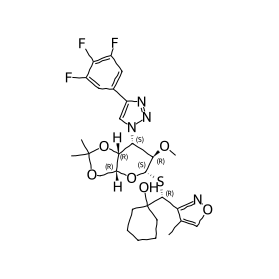 CO[C@@H]1[C@@H](n2cc(-c3cc(F)c(F)c(F)c3)nn2)[C@H]2OC(C)(C)OC[C@H]2O[C@H]1S[C@H](c1nocc1C)C1(O)CCCCC1